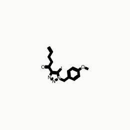 C=CCCC(=O)c1nnn(Cc2ccc(OC)cc2)c1I